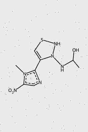 CC(O)NN1NSC=C1c1ncc([N+](=O)[O-])n1C